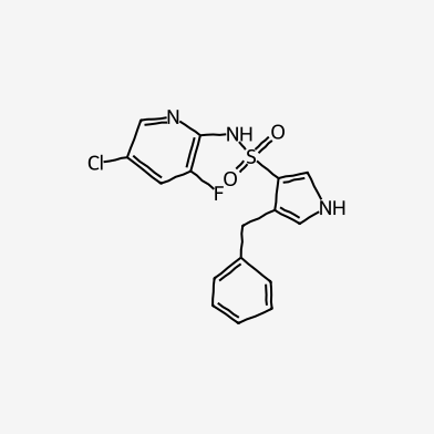 O=S(=O)(Nc1ncc(Cl)cc1F)c1c[nH]cc1Cc1ccccc1